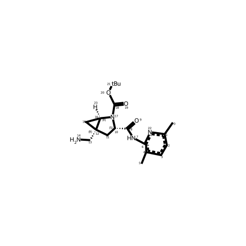 Cc1ccc(C)c(NC(=O)[C@@H]2C[C@@]3(CN)C[C@H]3N2C(=O)OC(C)(C)C)n1